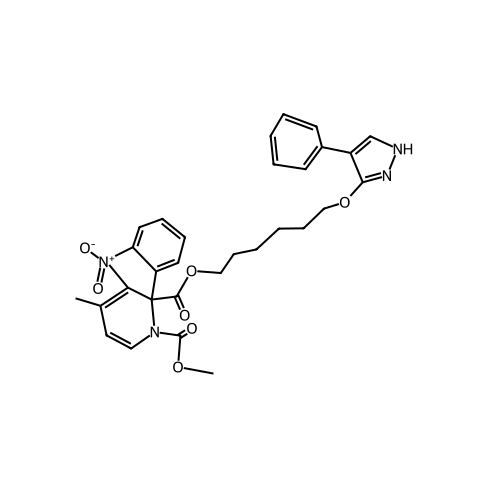 COC(=O)N1C=CC(C)=C(C)C1(C(=O)OCCCCCCOc1n[nH]cc1-c1ccccc1)c1ccccc1[N+](=O)[O-]